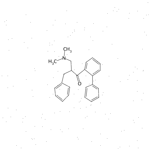 CN(C)CC(Cc1ccccc1)C(=O)c1ccccc1-c1ccccc1